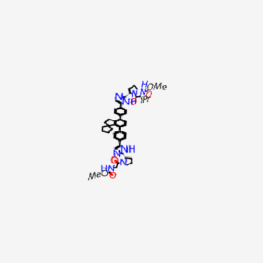 COC(=O)NCC(=O)N1CCC[C@H]1c1ncc(-c2ccc(-c3ccc(-c4ccc(-c5cnc([C@@H]6CCCN6C(=O)[C@@H](NC(=O)OC)C(C)C)[nH]5)cc4)c4c3C3(CCCC3)CC4)cc2)[nH]1